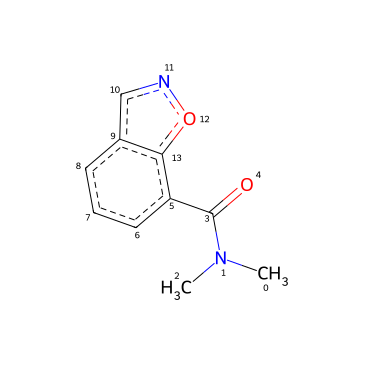 CN(C)C(=O)c1cccc2cnoc12